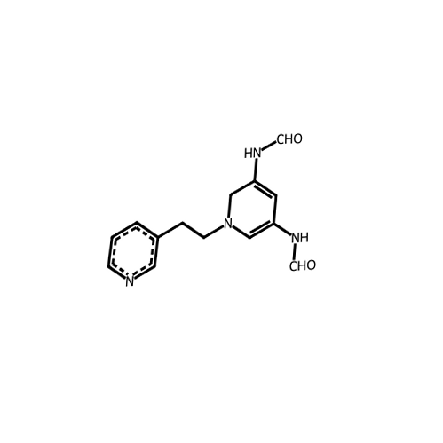 O=CNC1=CN(CCc2cccnc2)CC(NC=O)=C1